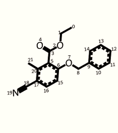 CCOC(=O)c1c(OCc2ccccc2)ccc(C#N)c1C